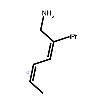 C/C=C\C=C(/CN)C(C)C